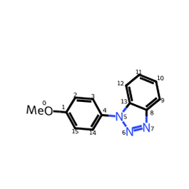 [CH2]Oc1ccc(-n2nnc3ccccc32)cc1